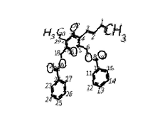 CCCCc1c(COC(=O)c2ccccc2)oc(COC(=O)c2ccccc2)c(CC)c1=O